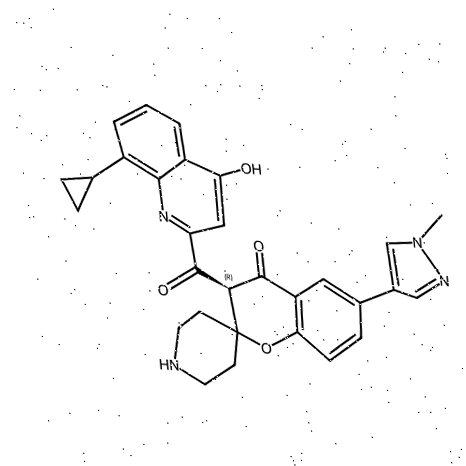 Cn1cc(-c2ccc3c(c2)C(=O)[C@H](C(=O)c2cc(O)c4cccc(C5CC5)c4n2)C2(CCNCC2)O3)cn1